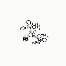 CCCCN1/C(=C\C=C2\CCCC(/C=C/C3=[N+](CCCC)c4ccccc4C3(C)C)=C2Cl)C(C)(C)c2ccccc21.F[P-](F)(F)(F)(F)F